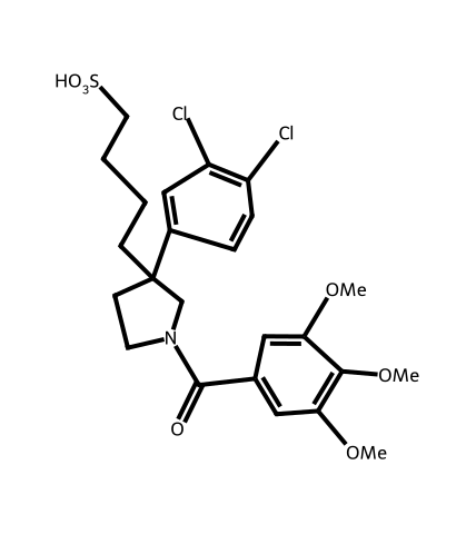 COc1cc(C(=O)N2CCC(CCCCS(=O)(=O)O)(c3ccc(Cl)c(Cl)c3)C2)cc(OC)c1OC